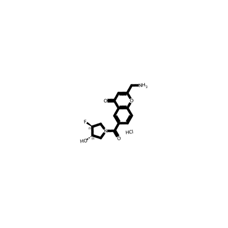 Cl.NCc1cc(=O)c2cc(C(=O)N3C[C@H](O)[C@@H](F)C3)ccc2o1